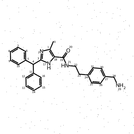 Cc1nc(C(c2ccccc2)c2ccccc2)[nH]c1C(=O)NCCc1ccc(CN)cc1